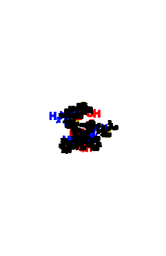 CC(C)c1nc(CN(C)C(=O)N[C@H](C(=O)N[C@@H](Cc2ccccc2)C[C@H](O)[C@H](Cc2ccccc2)NC(=O)OCc2cncs2)C(C)C)cs1.Nc1ccn([C@H]2CS[C@@H](CO)O2)c(=O)n1